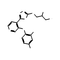 OCC(O)CNc1nnc(-c2ccncc2Nc2ccc(I)cc2F)o1